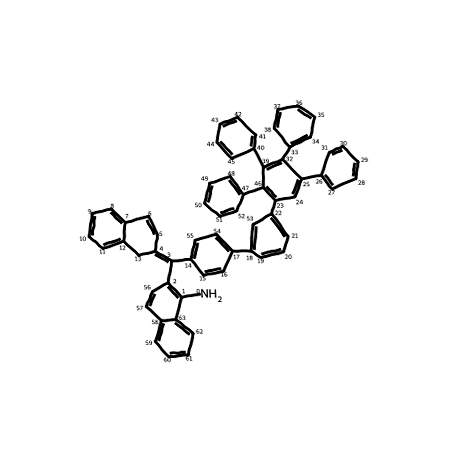 Nc1c(/C(=C2/C=Cc3ccccc3C2)c2ccc(-c3cccc(-c4cc(-c5ccccc5)c(-c5ccccc5)c(-c5ccccc5)c4-c4ccccc4)c3)cc2)ccc2ccccc12